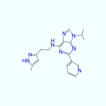 Cc1cc(CCNc2nc(-c3cccnc3)nc3c2ncn3C(C)C)n[nH]1